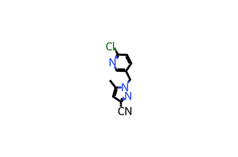 Cc1cc(C#N)nn1Cc1ccc(Cl)nc1